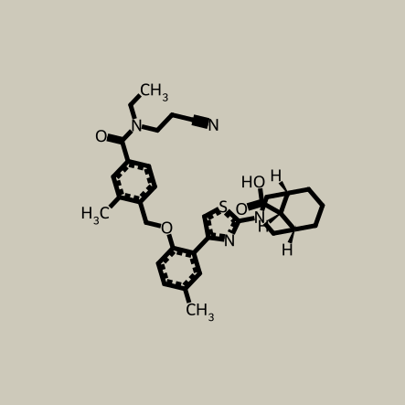 CCN(CCC#N)C(=O)c1ccc(COc2ccc(C)cc2-c2csc(N3C[C@H]4CCC[C@@H](C3)[C@H]4C(=O)O)n2)c(C)c1